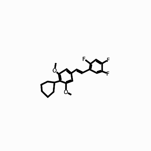 COc1cc(/C=C/c2cc(F)c(F)cc2F)cc(OC)c1C1CCCCC1